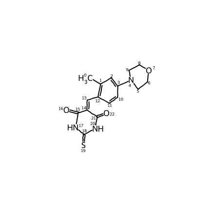 Cc1cc(N2CCOCC2)ccc1C=C1C(=O)NC(=S)NC1=O